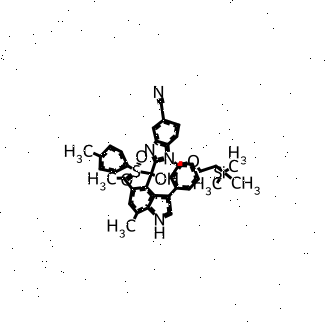 CCc1cc(C)c2[nH]cc(-c3ccccc3)c2c1C(O)(c1nc2cc(C#N)ccc2n1COCC[Si](C)(C)C)S(=O)(=O)c1ccc(C)cc1